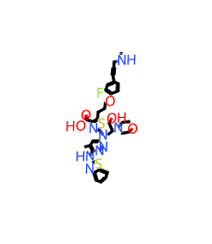 CNCC#Cc1ccc(OCCCc2sc(N(CC(CO)N3CCOCC3)c3cc(C)c(Nc4nc5ccccc5s4)nn3)nc2C(=O)O)c(F)c1